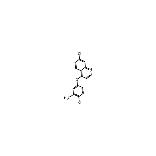 Cc1cc(Oc2ccnc3cc(Cl)ccc23)ccc1Cl